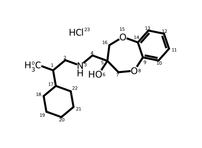 CC(CNCC1(O)COc2ccccc2OC1)C1CCCCC1.Cl